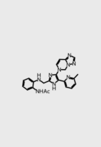 CC(=O)Nc1ccccc1NCc1nc(N2C=Cc3ncnn3C2)c(-c2cccc(C)n2)[nH]1